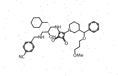 COCCCOC(c1ccccc1)C1CCCN(c2c(N[C@@H](CC3CCCCC3)[C@@H](O)CNCc3ccc(C#N)cc3)c(=O)c2=O)C1